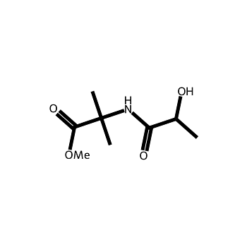 COC(=O)C(C)(C)NC(=O)C(C)O